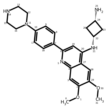 COc1cc2nc(-c3ccc(N4CCNCC4)cc3)cc(N[C@H]3C[C@@H](N)C3)c2cc1OC